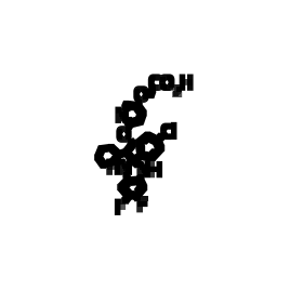 O=C(O)COc1ccc(OCC(C2CCCCC2)C2(c3ccc(Cl)cc3)Nc3cc(F)c(F)cc3N2)nc1